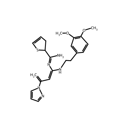 C=C(/C=C(\N=C(/N)C1CC=CS1)NCCc1ccc(OC)c(OC)c1)n1cccn1